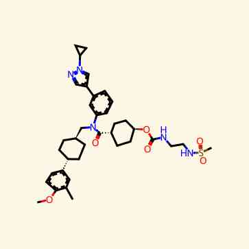 COc1ccc([C@H]2CC[C@H](CN(c3cccc(-c4cnn(C5CC5)c4)c3)C(=O)[C@H]3CC[C@H](OC(=O)NCCNS(C)(=O)=O)CC3)CC2)cc1C